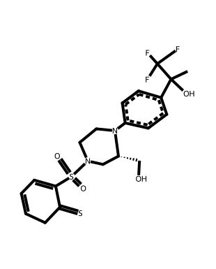 CC(O)(c1ccc(N2CCN(S(=O)(=O)C3=CC=CCC3=S)C[C@H]2CO)cc1)C(F)(F)F